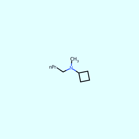 CCCCN(C)C1CCC1